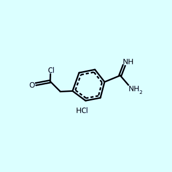 Cl.N=C(N)c1ccc(CC(=O)Cl)cc1